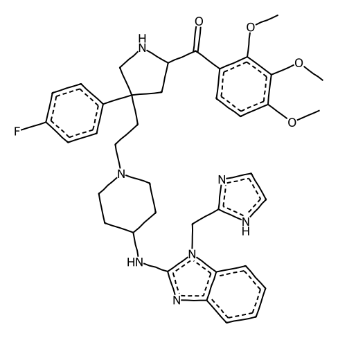 COc1ccc(C(=O)C2CC(CCN3CCC(Nc4nc5ccccc5n4Cc4ncc[nH]4)CC3)(c3ccc(F)cc3)CN2)c(OC)c1OC